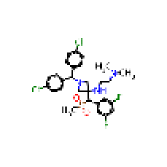 CN(C)CCNC1(C(c2cc(F)cc(F)c2)S(C)(=O)=O)CN(C(c2ccc(Cl)cc2)c2ccc(Cl)cc2)C1